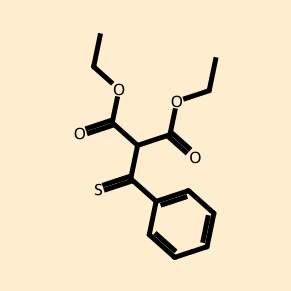 CCOC(=O)C(C(=O)OCC)C(=S)c1ccccc1